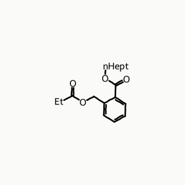 CCCCCCCOC(=O)c1ccccc1COC(=O)CC